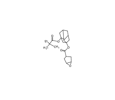 CCC(C)(C)C(=O)OC12CC3CC(CC(OC(=O)C4CC5OC5C4)(C3)C1)C2